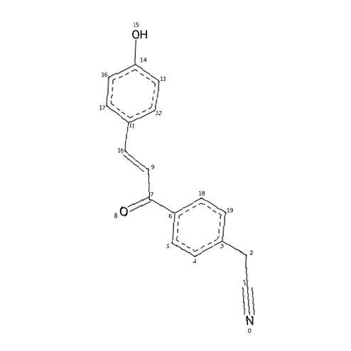 N#CCc1ccc(C(=O)C=Cc2ccc(O)cc2)cc1